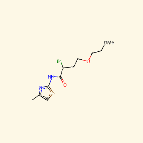 COCCOCCC(Br)C(=O)Nc1nc(C)cs1